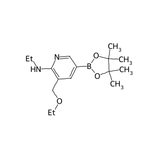 CCNc1ncc(B2OC(C)(C)C(C)(C)O2)cc1COCC